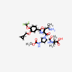 COC(=O)N[C@@H]1C[C@@H](C(=O)NC(C)(C)C(=O)O)N(C(=O)c2nc(-c3ccc(OC(F)F)c(OCC4CC4)c3)oc2[C@H](C)N)C1